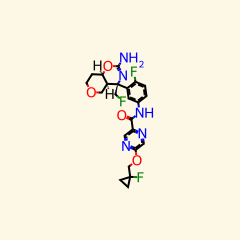 NC1=N[C@](CF)(c2cc(NC(=O)c3cnc(OCC4(F)CC4)cn3)ccc2F)[C@H]2COCC[C@H]2O1